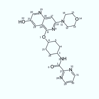 O=C(NC1CCC(Oc2nc(N3CCOCC3)cc3ncc(O)cc23)CC1)c1ncccn1